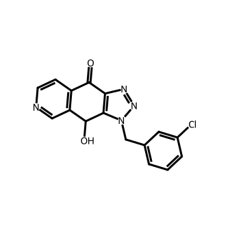 O=C1c2ccncc2C(O)c2c1nnn2Cc1cccc(Cl)c1